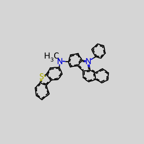 CN(c1ccc2c(c1)sc1ccccc12)c1ccc2c(c1)c1ccc3ccccc3c1n2-c1ccccc1